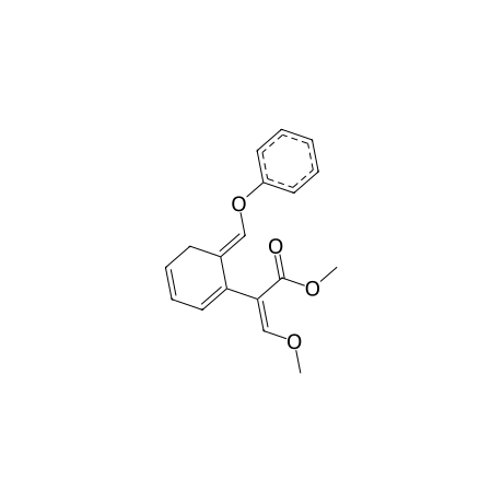 COC=C(C(=O)OC)C1=CC=CCC1=COc1ccccc1